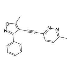 Cc1ccc(C#Cc2c(-c3ccccc3)noc2C)nn1